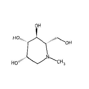 CN1C[C@H](O)[C@H](O)[C@@H](O)[C@@H]1CO